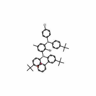 Cc1cc(N(c2ccc(Cl)cc2)c2ccc(C(C)(C)C)cc2)c(Br)c(N(c2ccc(C(C)(C)C)cc2)c2ccc(C(C)(C)C)cc2-c2ccccc2)c1